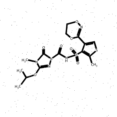 Cc1scc(C2=NOCCO2)c1S(=O)(=O)NC(=O)n1nc(OC(C)C)n(C)c1=O